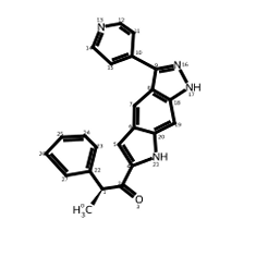 C[C@H](C(=O)c1cc2cc3c(-c4ccncc4)n[nH]c3cc2[nH]1)c1ccccc1